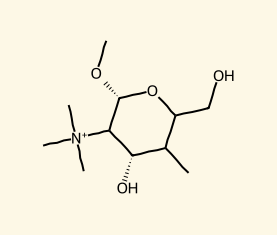 CO[C@@H]1OC(CO)C(C)[C@H](O)C1[N+](C)(C)C